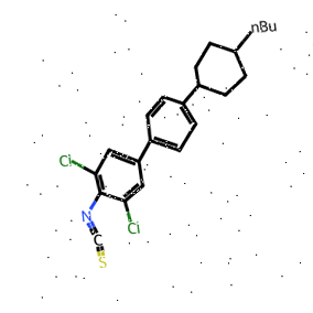 CCCCC1CCC(c2ccc(-c3cc(Cl)c(N=C=S)c(Cl)c3)cc2)CC1